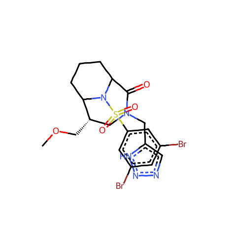 COC[C@H]1CN(Cc2cnn[nH]2)C(=O)C2CCCC1N2S(=O)(=O)c1cc(Br)cc(Br)c1